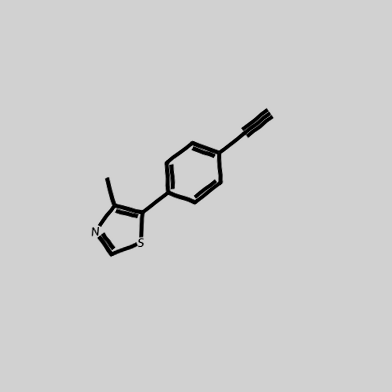 C#Cc1ccc(-c2scnc2C)cc1